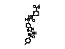 COC(=O)c1cccc(NC(=O)Nc2ccc3sc(NS(=O)(=O)c4ccc(C)cc4)nc3c2)c1